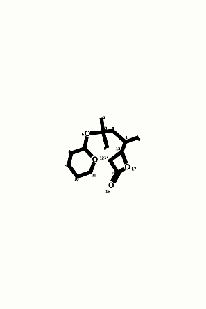 CC(CC(C)(C)OC1CCCCO1)C1CC(=O)O1